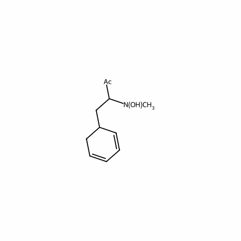 CC(=O)C(CC1C=CC=CC1)N(C)O